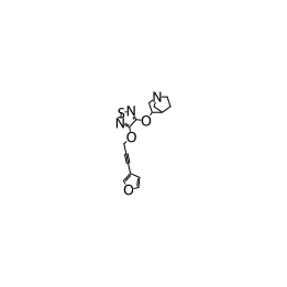 C(#Cc1ccoc1)COc1nsnc1OC1CN2CCC1C2